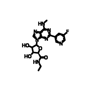 CCNC(=O)[C@@H]1OC(n2cnc3c(NC)nc(-c4cncc(F)c4)nc32)C(O)C1O